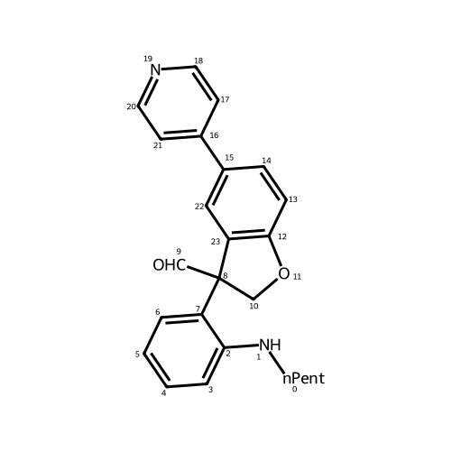 CCCCCNc1ccccc1C1(C=O)COc2ccc(-c3ccncc3)cc21